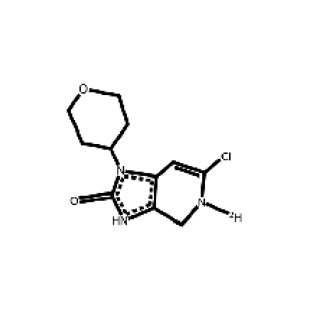 [2H]N1Cc2[nH]c(=O)n(C3CCOCC3)c2C=C1Cl